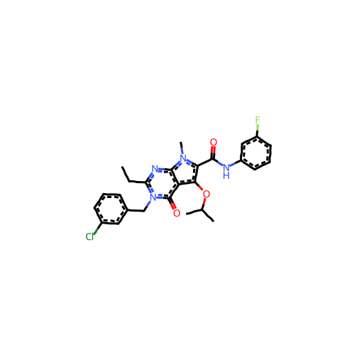 CCc1nc2c(c(OC(C)C)c(C(=O)Nc3cccc(F)c3)n2C)c(=O)n1Cc1cccc(Cl)c1